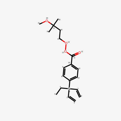 C=C[Si](C=C)(CC)c1ccc(C(=O)OO[CH]CC(C)(C)OC)cc1